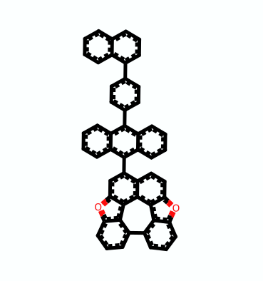 c1ccc2c(-c3ccc(-c4c5ccccc5c(-c5cc6oc7cccc8c7c6c6c5ccc5oc7cccc-8c7c56)c5ccccc45)cc3)cccc2c1